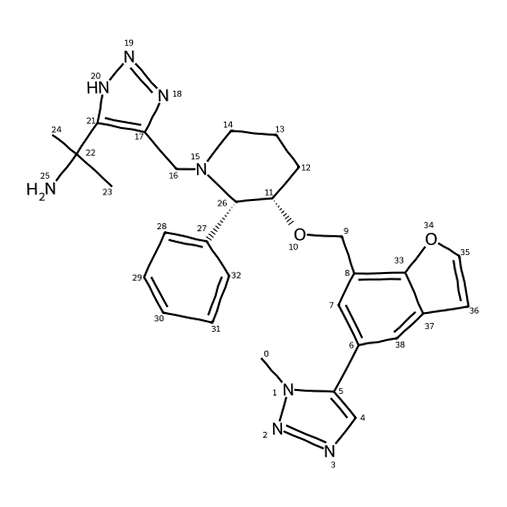 Cn1nncc1-c1cc(CO[C@H]2CCCN(Cc3nn[nH]c3C(C)(C)N)[C@H]2c2ccccc2)c2occc2c1